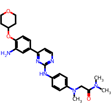 CN(C)C(=O)CN(C)c1ccc(Nc2nccc(-c3ccc(OC4CCOCC4)c(N)c3)n2)cc1